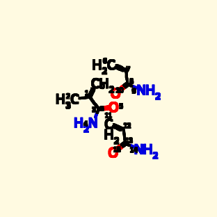 C=C(C)C(N)=O.C=CC(N)=O.C=CC(N)=O